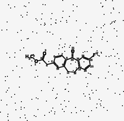 COC(=O)Cc1ccc2c(c1)CCc1ccc(F)cc1C2=O